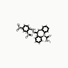 NC(=O)N1c2ccccc2C/C(=N\Nc2ccc([N+](=O)[O-])cc2[N+](=O)[O-])c2ccccc21